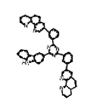 C1=CN=C2c3ncc(-c4cccc(-c5nc(-c6cccc(-c7cnc8c(ccc9cccnc98)c7)c6)nc(-c6ccc7[nH]c8ccccc8c7c6)n5)c4)cc3C=CC2C1